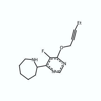 CCC#CCOc1ncnc(C2CCCCCN2)c1F